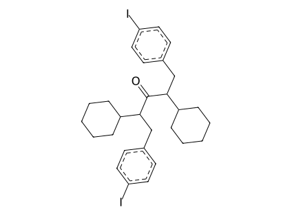 O=C(C(Cc1ccc(I)cc1)C1CCCCC1)C(Cc1ccc(I)cc1)C1CCCCC1